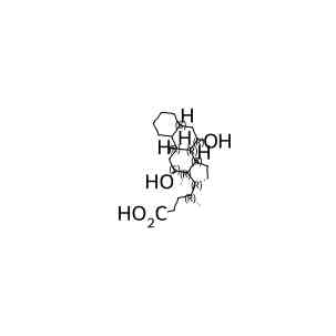 C[C@H](CCC(=O)O)[C@H]1CC[C@H]2[C@@H]3[C@H](O)C[C@@H]4CCCCC4[C@H]3C[C@H](O)[C@]12C